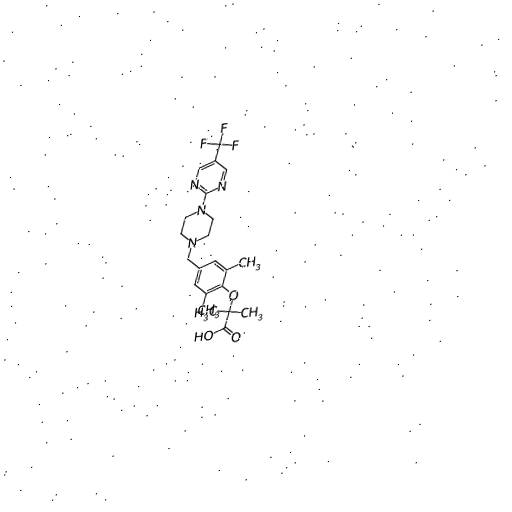 Cc1cc(CN2CCN(c3ncc(C(F)(F)F)cn3)CC2)cc(C)c1OC(C)(C)C(=O)O